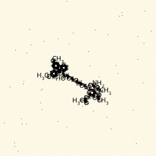 COc1ccc(C(OC[C@@H](O)COCCOCCOCCO[C@@H]2O[C@H](COC(C)=O)[C@H](OC(C)=O)[C@H](OC(C)=O)[C@H]2CC(N)=O)(c2ccccc2)c2ccc(OC)cc2)cc1